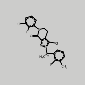 Cc1cccc([C@@H](C)n2nc3c(c2Cl)CCN(c2cccc(Cl)c2F)C3=O)c1F